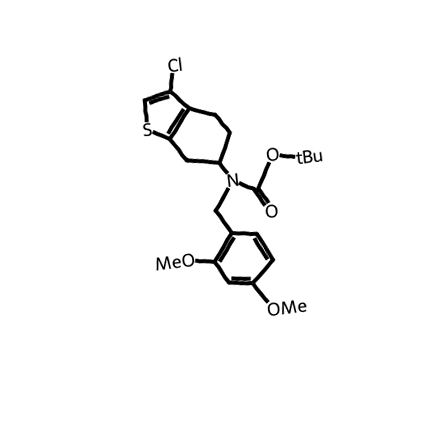 COc1ccc(CN(C(=O)OC(C)(C)C)C2CCc3c(Cl)csc3C2)c(OC)c1